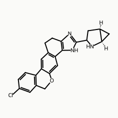 Clc1ccc2c(c1)COc1cc3c(cc1-2)CCc1nc(C2C[C@H]4C[C@H]4N2)[nH]c1-3